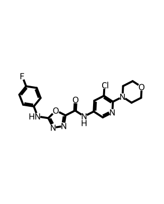 O=C(Nc1cnc(N2CCOCC2)c(Cl)c1)c1nnc(Nc2ccc(F)cc2)o1